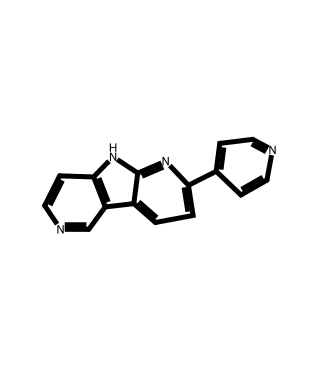 c1cc(-c2ccc3c(n2)[nH]c2ccncc23)ccn1